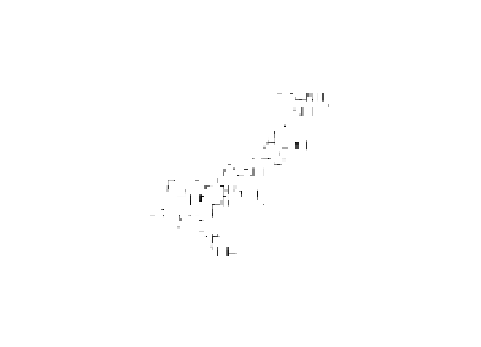 C[C@@H](NC(=O)[C@H](Cc1ccccc1)NC(=O)[C@H](Cc1c[nH]cn1)NC(=O)[C@@H](N)CS)C(=O)NCC(=O)N[C@@H](CCCNC(=N)N)C(=O)O